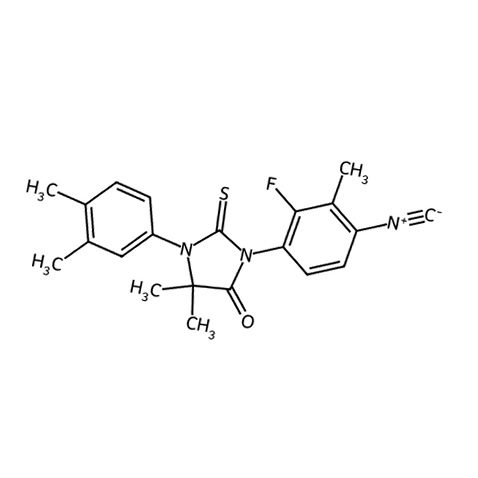 [C-]#[N+]c1ccc(N2C(=O)C(C)(C)N(c3ccc(C)c(C)c3)C2=S)c(F)c1C